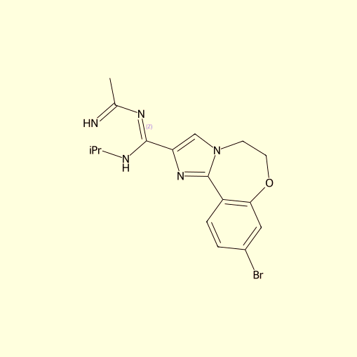 CC(=N)/N=C(\NC(C)C)c1cn2c(n1)-c1ccc(Br)cc1OCC2